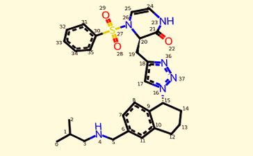 CC(C)CNCc1ccc2c(c1)CCC[C@H]2n1cc(C[C@@H]2C(=O)NC=CN2S(=O)(=O)c2ccccc2)nn1